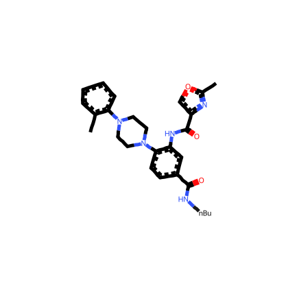 CCCCNC(=O)c1ccc(N2CCN(c3ccccc3C)CC2)c(NC(=O)c2coc(C)n2)c1